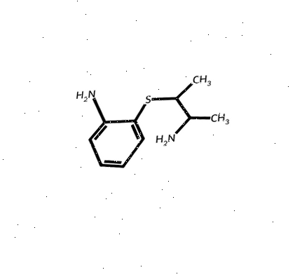 CC(N)C(C)Sc1ccccc1N